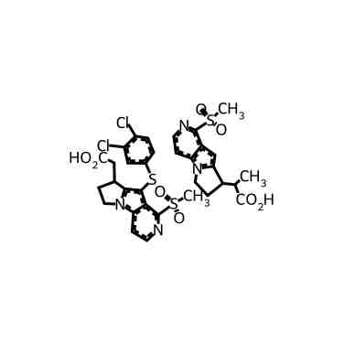 CC(C(=O)O)C1CCn2c1cc1c(S(C)(=O)=O)nccc12.CS(=O)(=O)c1nccc2c1c(Sc1ccc(Cl)c(Cl)c1)c1n2CCC1CC(=O)O